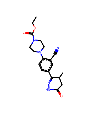 CCOC(=O)N1CCN(c2ccc(C3=NNC(=O)CC3C)cc2C#N)CC1